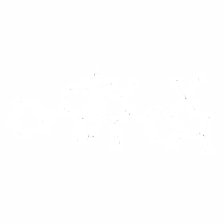 O=C1[C@@H]2[C@H]3C[C@@H]([C@@H]2C(=O)N1c1ccc([N+](=O)[O-])c(C(F)(F)F)c1)[C@H](c1ccccc1)C3